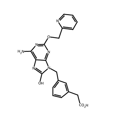 Nc1nc(OCc2ccccn2)nc2c1nc(O)n2Cc1cccc(CC(=O)O)c1